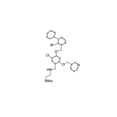 CNCCNCc1cc(Cl)c(OCc2cccc(-c3ccccc3)c2Br)cc1OCc1cccnc1